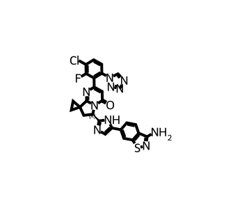 Nc1nsc2cc(-c3cnc([C@H]4CC5(CC5)c5nc(-c6c(-n7cnnn7)ccc(Cl)c6F)cc(=O)n54)[nH]3)ccc12